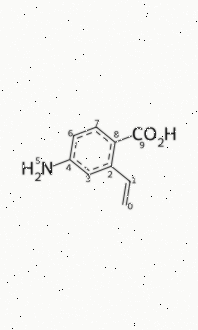 C=Cc1cc(N)ccc1C(=O)O